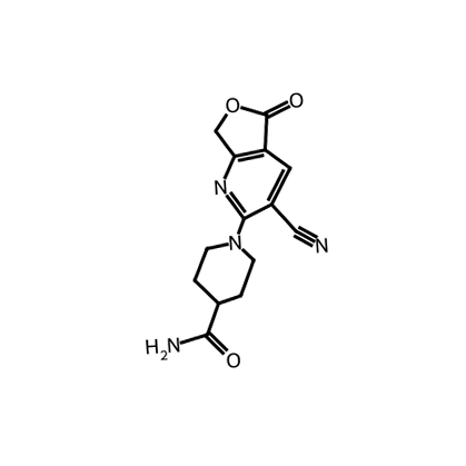 N#Cc1cc2c(nc1N1CCC(C(N)=O)CC1)COC2=O